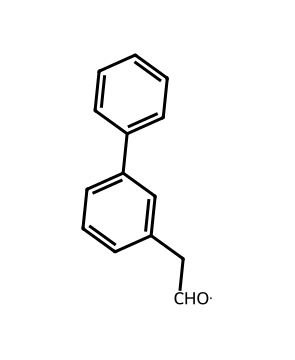 O=[C]Cc1cccc(-c2ccccc2)c1